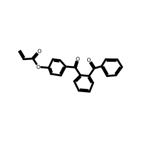 C=CC(=O)Oc1ccc(C(=O)c2ccccc2C(=O)c2ccccc2)cc1